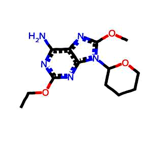 CCOc1nc(N)c2nc(OC)n(C3CCCCO3)c2n1